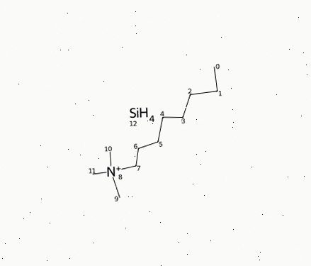 CCCCCCCC[N+](C)(C)C.[SiH4]